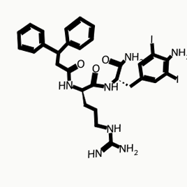 N=C(N)NCCC[C@@H](NC(=O)CC(c1ccccc1)c1ccccc1)C(=O)N[C@@H](Cc1cc(I)c(N)c(I)c1)C(N)=O